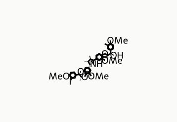 COc1ccc([C@@H](O)[C@@H](C)Oc2ccc(C3N[C@H](c4ccc(O[C@H](C)[C@H](O)c5ccc(OC)c(I)c5)c(OC)c4)[C@H](C)[C@H]3C)cc2OC)cc1C